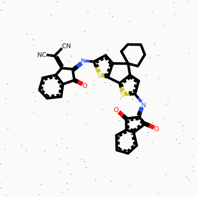 N#CC(C#N)=C1/C(=N/c2cc3c(s2)-c2sc(N=c4c(=O)c5ccccc5c4=O)cc2C32CCCCC2)C(=O)c2ccccc21